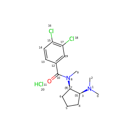 CN(C)[C@H]1CCC[C@H]1N(C)C(=O)c1ccc(Cl)c(Cl)c1.Cl